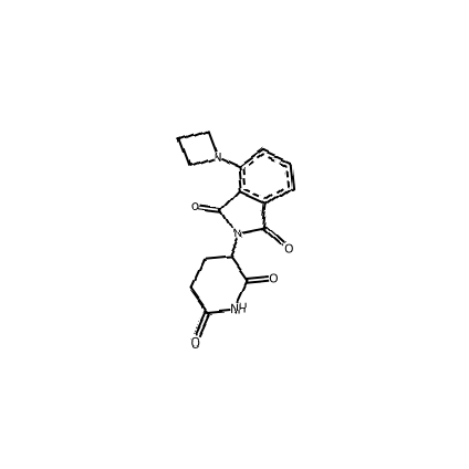 O=C1CCC(N2C(=O)c3cccc(N4CCC4)c3C2=O)C(=O)N1